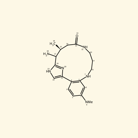 CNc1ccc2c(c1)NCCCNC(=O)C[C@H](C)C(N)c1nc-2c[nH]1